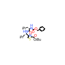 CC(C)COC(=O)c1nc([C@H](CC(C)C)NC(=O)[C@H](CC(C)C)NC(=O)OCc2ccccc2)cs1